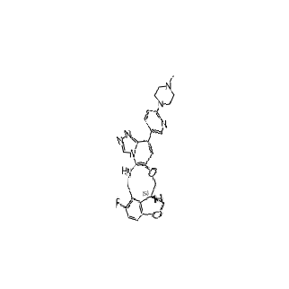 CN1CCN(c2ccc(-c3cc4c(n5cnnc35)NCc3c(F)ccc5c3[C@@H](CO5)CO4)cn2)CC1